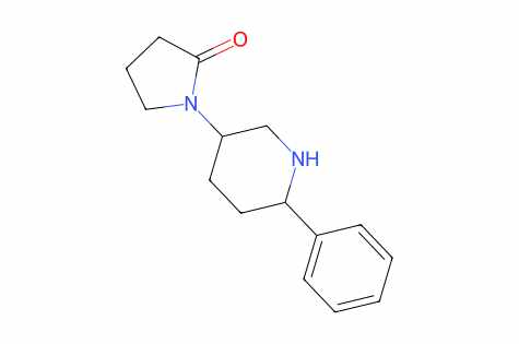 O=C1CCCN1C1CCC(c2ccccc2)NC1